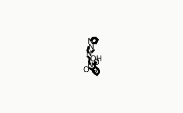 O=C1C2C3CCC(O3)C2C(=O)N1CC(O)CN1CCN(c2ccccn2)CC1